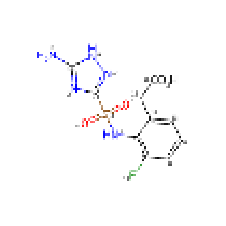 Nc1nc(S(=O)(=O)Nc2c(F)cccc2CC(=O)O)n[nH]1